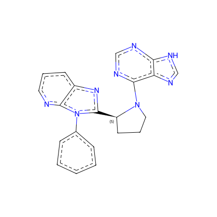 c1ccc(-n2c([C@@H]3CCCN3c3ncnc4[nH]cnc34)nc3cccnc32)cc1